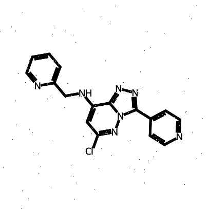 Clc1cc(NCc2ccccn2)c2nnc(-c3ccncc3)n2n1